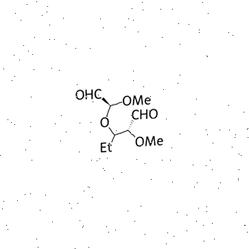 CCC(O[C@@H](C=O)OC)[C@H](C=O)OC